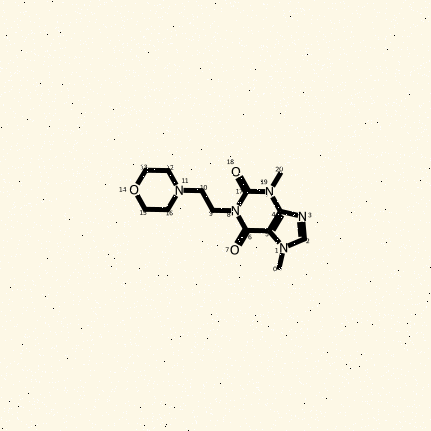 Cn1cnc2c1c(=O)n(CCN1CCOCC1)c(=O)n2C